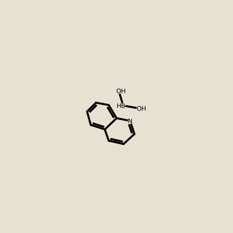 OBO.c1ccc2ncccc2c1